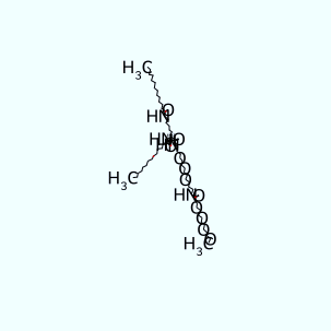 CCCCCCCCCCCCCC(=O)NCCCCC[C@@H](NC(=O)CCCCCCCCCCCCC)C(=O)NCCCOCCOCCOCCCNC(=O)CCOCCOCCOCCOC